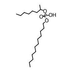 CCCCCCCCCCCCOP(=O)(O)OC(C)CCCCCC